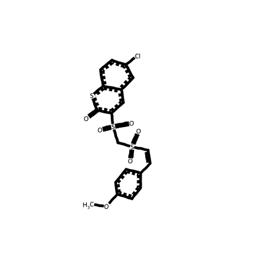 COc1ccc(/C=C\S(=O)(=O)CS(=O)(=O)c2cc3cc(Cl)ccc3sc2=O)cc1